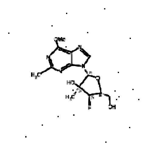 COc1nc(C)nc2c1ncn2[C@@H]1O[C@H](CO)[C@@H](F)[C@@]1(C)O